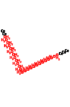 O.O.O.O.O.O.O.O.O.O.O.O.O.O.O.O.O.O.O.O.O.O.O.O.O.[Ce].[Ce].[Ce].[Ce].[Ce]